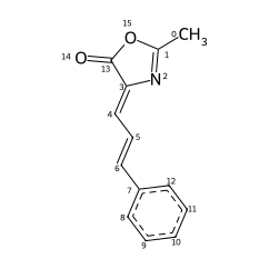 CC1=N/C(=C\C=C\c2ccccc2)C(=O)O1